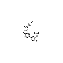 CC1CN(C(=O)Cn2ncc3ncc(-c4ccc(F)c(OC(F)F)c4)nc32)C1